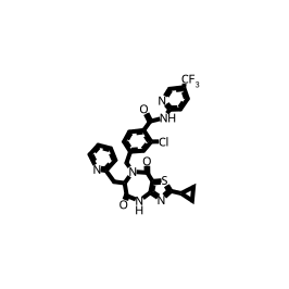 O=C(Nc1ccc(C(F)(F)F)cn1)c1ccc(CN2C(=O)c3sc(C4CC4)nc3NC(=O)C2Cc2ccccn2)cc1Cl